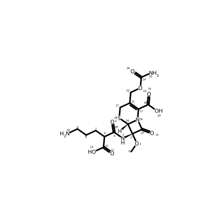 CO[C@@]1(NC(=O)C(CCCN)C(=O)O)C(=O)N2C(C(=O)O)=C(COC(N)=O)CS[C@H]21